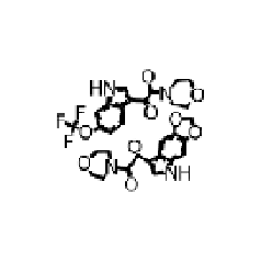 O=C(C(=O)N1CCOCC1)c1c[nH]c2cc(OC(F)(F)F)ccc12.O=C(C(=O)N1CCOCC1)c1c[nH]c2cc3c(cc12)OCO3